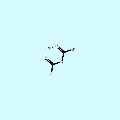 O=C([O-])OC(=O)[O-].[Co+2]